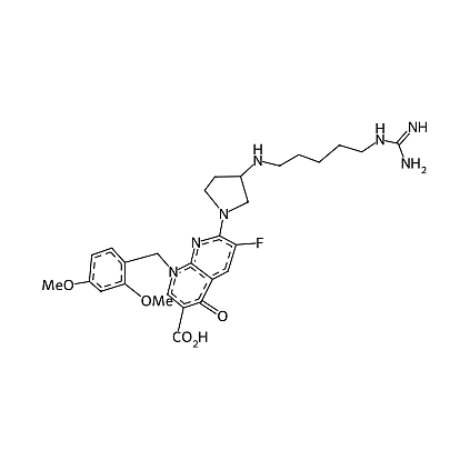 COc1ccc(Cn2cc(C(=O)O)c(=O)c3cc(F)c(N4CCC(NCCCCCNC(=N)N)C4)nc32)c(OC)c1